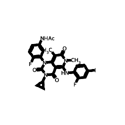 CC(=O)Nc1ccc(F)c(-n2c(=O)n(C3CC3)c(=O)c3c(Nc4ccc(I)cc4F)n(C)c(=O)c(C)c32)c1